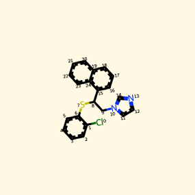 Clc1ccccc1SC(Cn1ccnc1)c1cccc2ccccc12